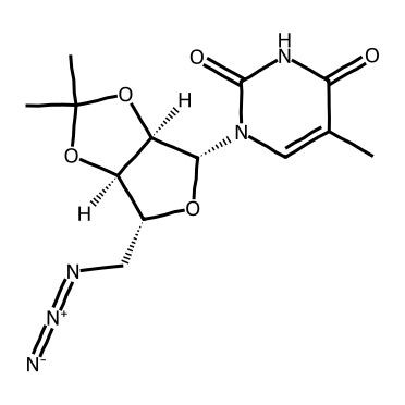 Cc1cn([C@@H]2O[C@H](CN=[N+]=[N-])[C@H]3OC(C)(C)O[C@H]32)c(=O)[nH]c1=O